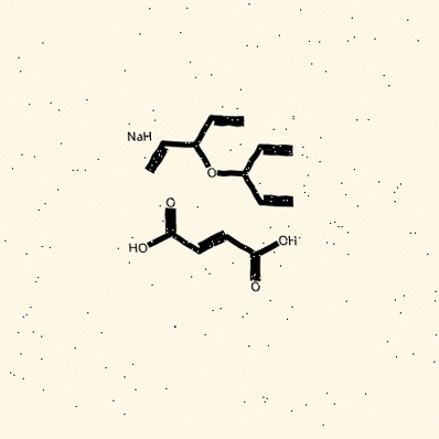 C=CC(C=C)OC(C=C)C=C.O=C(O)C=CC(=O)O.[NaH]